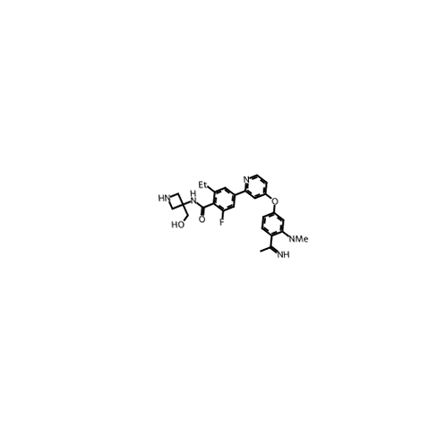 CCc1cc(-c2cc(Oc3ccc(C(C)=N)c(NC)c3)ccn2)cc(F)c1C(=O)NC1(CO)CNC1